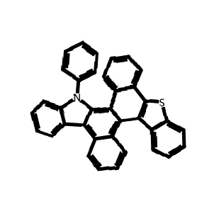 c1ccc(-n2c3ccccc3c3c4ccccc4c4c5c6ccccc6sc5c5ccccc5c4c32)cc1